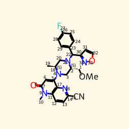 COC[C@@H]1CN(c2cc(=O)n(C)c3ccc(C#N)nc23)[C@@H](C)CN1C(c1ccc(F)cc1)c1ccon1